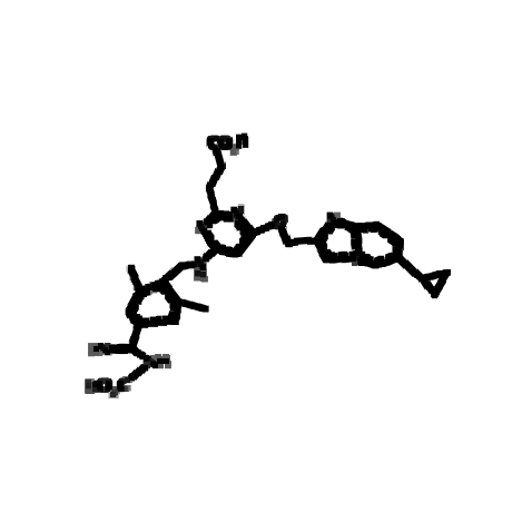 CCOC(=O)NC(=N)c1cc(C)c(CNc2cc(OCc3cn4cc(C5CC5)ccc4n3)nc(CCC(=O)O)n2)c(C)c1